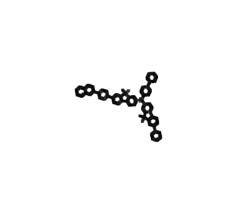 CC1(C)c2cc(-c3ccccc3)ccc2-c2ccc(N(c3ccc(-c4ccccc4)cc3)c3ccc4c(c3)C(C)(C)c3cc(-c5ccc(-c6ccc7ccccc7c6)cc5)ccc3-4)cc21